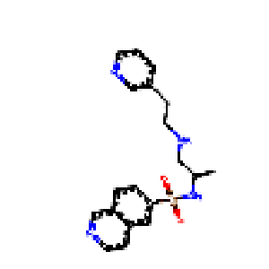 CC(CNCCc1cccnc1)NS(=O)(=O)c1ccc2cnccc2c1